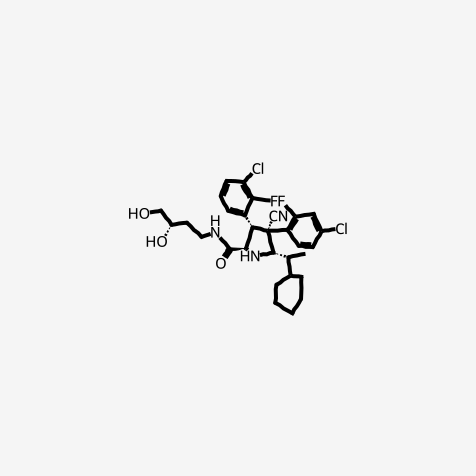 CC(C1CCCCC1)[C@@H]1N[C@@H](C(=O)NCC[C@H](O)CO)[C@H](c2cccc(Cl)c2F)[C@@]1(C#N)c1ccc(Cl)cc1F